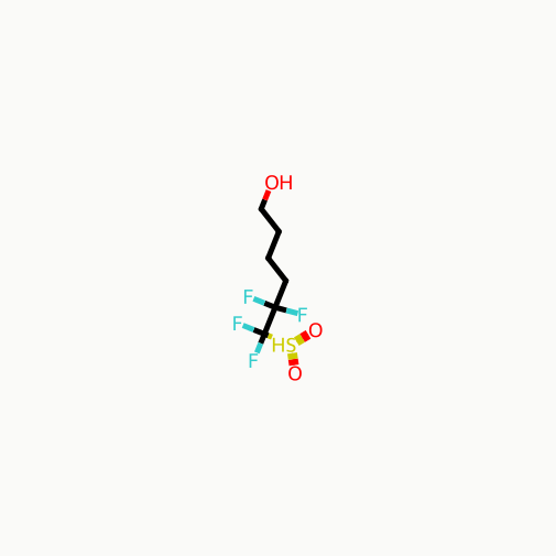 O=[SH](=O)C(F)(F)C(F)(F)CCCCO